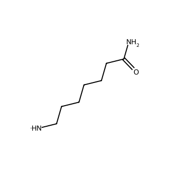 [NH]CCCCCCC(N)=O